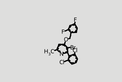 Cc1cc(OCc2ccc(F)cc2F)c(Br)c(-c2c(Cl)cccc2Cl)n1